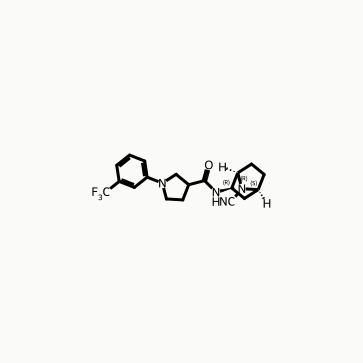 N#CN1[C@H]2CC[C@@H]1[C@H](NC(=O)C1CCN(c3cccc(C(F)(F)F)c3)C1)C2